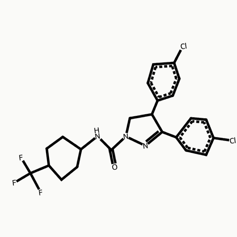 O=C(NC1CCC(C(F)(F)F)CC1)N1CC(c2ccc(Cl)cc2)C(c2ccc(Cl)cc2)=N1